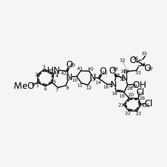 COc1ccc2c(c1)CCN(C1CCN(C(=O)CN3C=C(c4cccc(Cl)c4Cl)C(O)N([C@H](C)CS(C)(=O)=O)C3=O)CC1)C(=O)N2